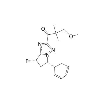 COCC(C)(C)C(=O)c1nc2n(n1)[C@H](C1C=CC=CC1)C[C@@H]2F